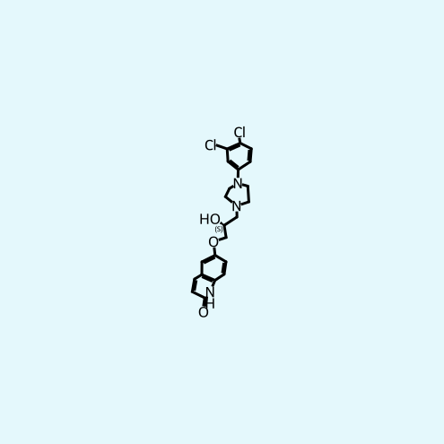 O=c1ccc2cc(OC[C@@H](O)CN3CCN(c4ccc(Cl)c(Cl)c4)CC3)ccc2[nH]1